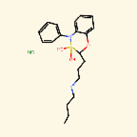 CCCCNCCCC1Oc2ccccc2N(c2ccccc2)S1(O)O.Cl